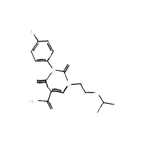 CC(C)OCCn1cc(C(=O)O)c(=O)n(-c2ccc(F)cc2)c1=O